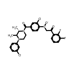 CC1[C@H](C)N(C(=O)c2ccc([S+]([O-])CC(=O)c3cccc(F)c3F)c(Cl)c2)CCN1c1cccc(Cl)c1